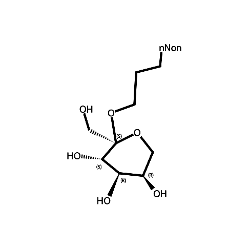 CCCCCCCCCCCCO[C@@]1(CO)OC[C@@H](O)[C@@H](O)[C@@H]1O